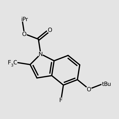 CC(C)OC(=O)n1c(C(F)(F)F)cc2c(F)c(OC(C)(C)C)ccc21